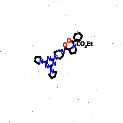 CCOC(=O)C1(C(=O)N2CCCC2C(=O)N2CCN(c3nc(N4CCCC4)nc(N4CCCC4)n3)CC2)CCCCC1